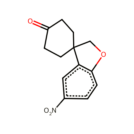 O=C1CCC2(CC1)COc1ccc([N+](=O)[O-])cc12